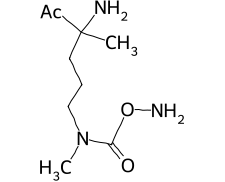 CC(=O)C(C)(N)CCCN(C)C(=O)ON